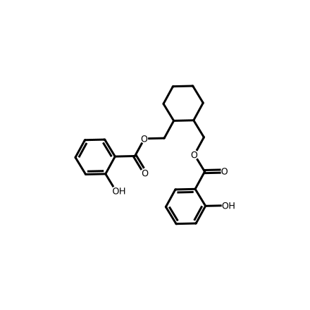 O=C(OCC1CCCCC1COC(=O)c1ccccc1O)c1ccccc1O